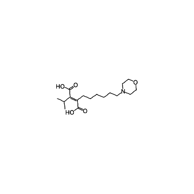 CC(C)/C(C(=O)O)=C(/CCCCCCN1CCOCC1)C(=O)O